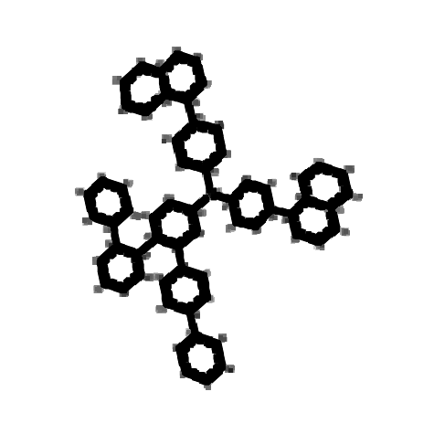 c1ccc(-c2ccc(-c3cc(N(c4ccc(-c5cccc6ccccc56)cc4)c4ccc(-c5cccc6ccccc56)cc4)ccc3-c3ccccc3-c3ccccc3)cc2)cc1